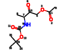 CC(=O)OCC(=O)C(C)NC(=O)OC(C)(C)C